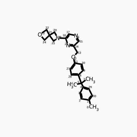 Cc1ccc(C(C)(C)c2ccc(OCc3cncc(N4CC5(COC5)C4)n3)cc2)cc1